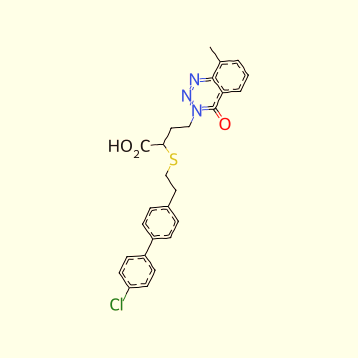 Cc1cccc2c(=O)n(CCC(SCCc3ccc(-c4ccc(Cl)cc4)cc3)C(=O)O)nnc12